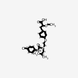 CCOC(Cc1ccc(OCCN(CC(C)C)C(=O)Nc2ccc(Cl)cc2)cc1)C(=O)O